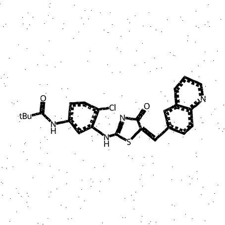 CC(C)(C)C(=O)Nc1ccc(Cl)c(NC2=NC(=O)C(=Cc3ccc4ncccc4c3)S2)c1